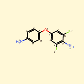 Nc1ccc(Oc2cc(F)c(N)c(F)c2)cc1